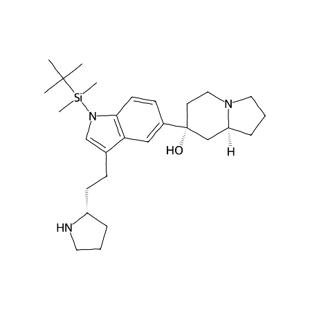 CC(C)(C)[Si](C)(C)n1cc(CC[C@@H]2CCCN2)c2cc([C@@]3(O)CCN4CCC[C@H]4C3)ccc21